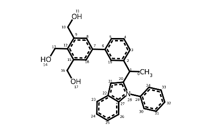 CC(c1cccc(-c2cc(CO)c(CO)c(CO)c2)c1)c1cc2ccccc2n1-c1ccccc1